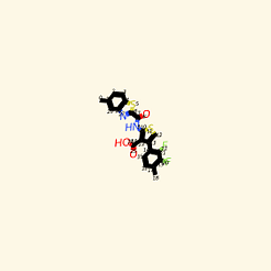 Cc1ccc2sc(C(=O)Nc3scc(-c4ccc(C)c(F)c4F)c3C(=O)O)nc2c1